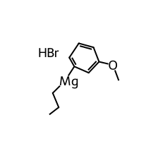 Br.CC[CH2][Mg][c]1cccc(OC)c1